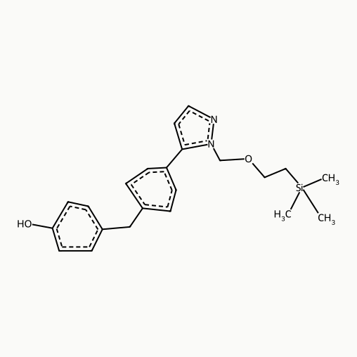 C[Si](C)(C)CCOCn1nccc1-c1ccc(Cc2ccc(O)cc2)cc1